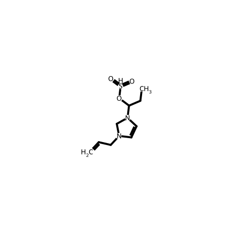 C=CCN1C=CN(C(CC)O[SH](=O)=O)C1